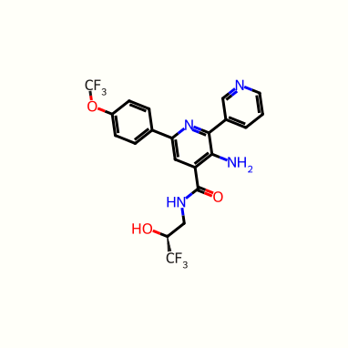 Nc1c(C(=O)NC[C@H](O)C(F)(F)F)cc(-c2ccc(OC(F)(F)F)cc2)nc1-c1cccnc1